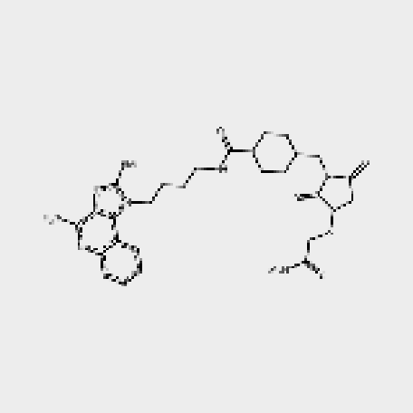 CCCCc1nc2c(N)nc3ccccc3c2n1CCCCNC(=O)C1CCC(CN2C(=O)CC(SCC(=O)NC)C2=O)CC1